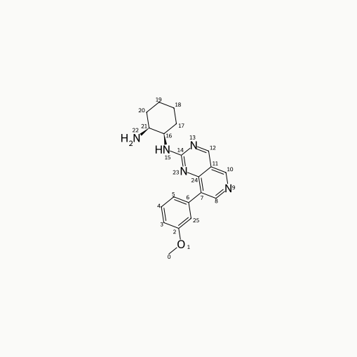 COc1cccc(-c2cncc3cnc(N[C@@H]4CCCC[C@@H]4N)nc23)c1